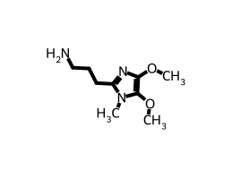 COc1nc(CCCN)n(C)c1OC